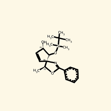 C[C@@H]1OC(c2ccccc2)=N[C@]12C=C[C@H](O)C2O[Si](C)(C)C(C)(C)C